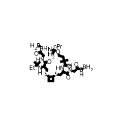 BBC(=O)CNC(=O)C(CSC1CCC1SCC(NC(C)(C)CC)C(=O)NCC(=O)BB)NC(=O)C(C)(C)CCOC(C)(N)CCC